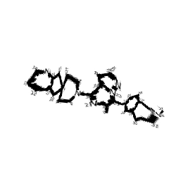 Cc1nc(N2CCC3(CC2)Cc2cccnc2C3)c2ccnn2c1-c1ccc2c(c1)CCN2C